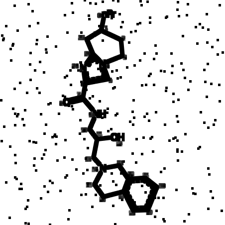 CCCC1CCn2cc(C(=O)NCC(O)CN3CCc4ccccc4C3)nc2C1